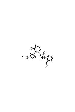 CCCc1ccccc1NC(=O)OC1CCN(C)C(=O)N1c1nnc(SCC)s1